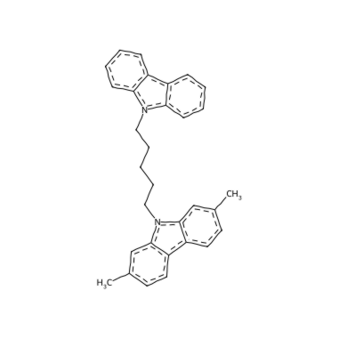 Cc1ccc2c3ccc(C)cc3n(CCCCCn3c4ccccc4c4ccccc43)c2c1